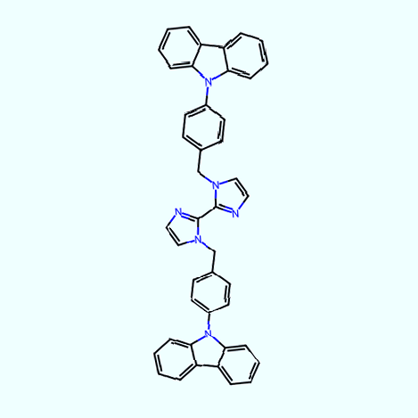 c1ccc2c(c1)c1ccccc1n2-c1ccc(Cn2ccnc2-c2nccn2Cc2ccc(-n3c4ccccc4c4ccccc43)cc2)cc1